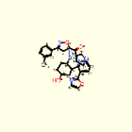 O=C(C1CC(c2cccc(C(F)(F)F)c2)=NO1)[C@]1(NC2CCC(O)CC2c2ncccc2-c2ncco2)CCNC1